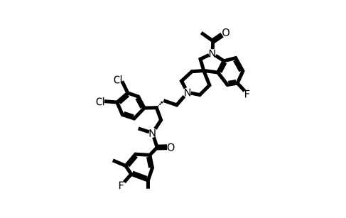 CC(=O)N1CC2(CCN(CC[C@H](CN(C)C(=O)c3cc(C)c(F)c(C)c3)c3ccc(Cl)c(Cl)c3)CC2)c2cc(F)ccc21